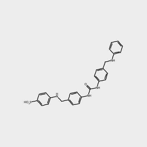 O=C(Nc1ccc(CNc2ccccc2)cc1)Nc1ccc(CNc2ccc(S(=O)(=O)O)cc2)cc1